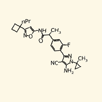 CCCC1(c2cc(NC(=O)C(C)c3ccc(-c4nn(C5(C)CC5)c(N)c4C#N)c(F)c3)on2)CCC1